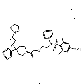 COc1cc(C)c(S(=O)(=O)N(CCOCC(=O)N2CCC(OCCN3CCCC3)(c3ccncc3)CC2)c2ccccc2)c(C)c1